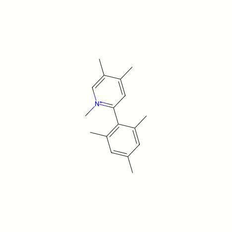 Cc1cc(C)c(-c2cc(C)c(C)c[n+]2C)c(C)c1